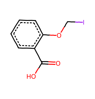 O=C(O)c1ccccc1OCI